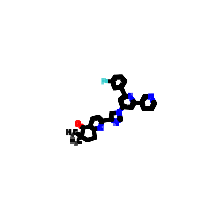 CC1(C)CCc2nc(-c3cn(-c4cc(-c5cccnc5)nc(-c5cccc(F)c5)c4)cn3)ccc2C1=O